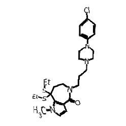 CCSC1(SCC)CCN(CCCN2CCN(c3ccc(Cl)cc3)CC2)C(=O)c2ccn(C)c21